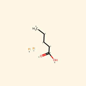 CCCCC(=O)O.[P].[P]